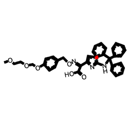 COCCOCOc1ccc(CON=C(C(=O)O)c2csc(NC(c3ccccc3)(c3ccccc3)c3ccccc3)n2)cc1